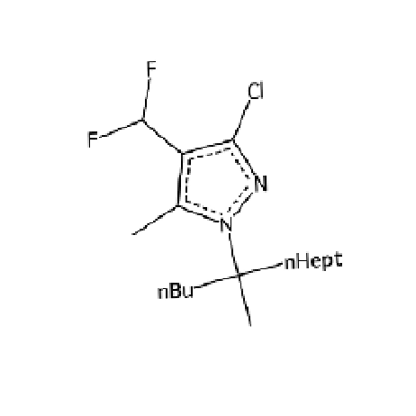 CCCCCCCC(C)(CCCC)n1nc(Cl)c(C(F)F)c1C